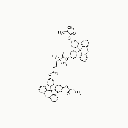 C=CC(=O)Oc1ccc(C2(c3ccc(OC(=O)/C=C/CC(C)(C)C(=O)Oc4ccc(C5(c6ccc(OC(=O)C(=C)C)cc6)c6ccccc6Sc6ccccc65)cc4)cc3)c3ccccc3Cc3ccccc32)cc1